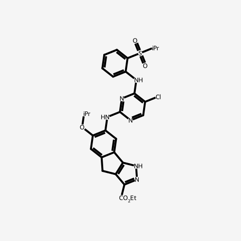 CCOC(=O)c1n[nH]c2c1Cc1cc(OC(C)C)c(Nc3ncc(Cl)c(Nc4ccccc4S(=O)(=O)C(C)C)n3)cc1-2